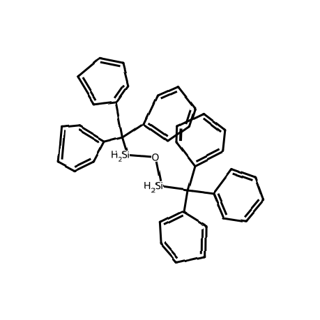 c1ccc(C([SiH2]O[SiH2]C(c2ccccc2)(c2ccccc2)c2ccccc2)(c2ccccc2)c2ccccc2)cc1